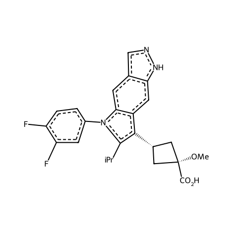 CO[C@]1(C(=O)O)C[C@H](c2c(C(C)C)n(-c3ccc(F)c(F)c3)c3cc4cn[nH]c4cc32)C1